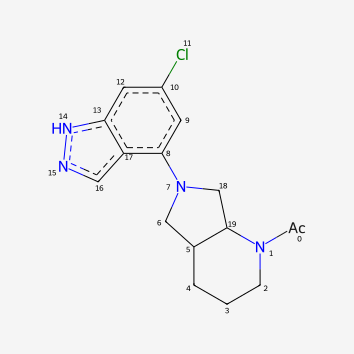 CC(=O)N1CCCC2CN(c3cc(Cl)cc4[nH]ncc34)CC21